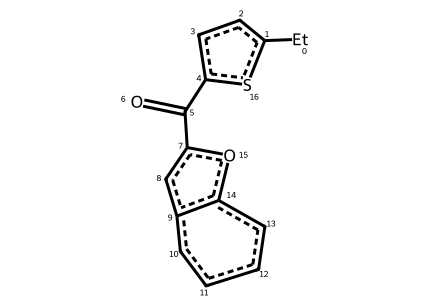 CCc1ccc(C(=O)c2cc3ccccc3o2)s1